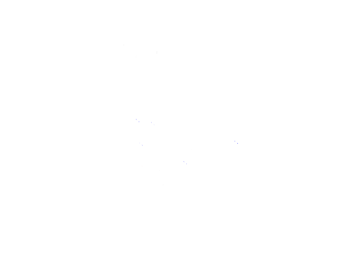 C[Si](C)(C)CCOCn1cnc(-c2sc(-c3ccncc3)nc2C(O)c2ccc(Cl)cc2)n1